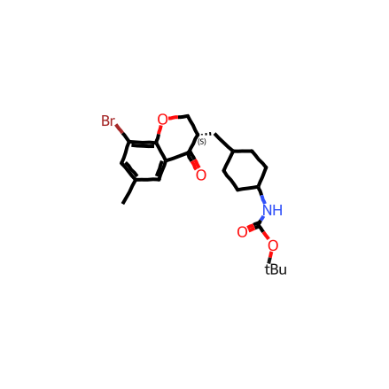 Cc1cc(Br)c2c(c1)C(=O)[C@@H](CC1CCC(NC(=O)OC(C)(C)C)CC1)CO2